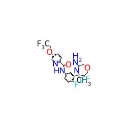 C[C@]1(c2cc(NC(=O)c3ccc(OCC(F)(F)F)cn3)ccc2F)N=C(N)COCC1(F)F